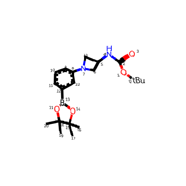 CC(C)(C)OC(=O)NC1CN(c2cccc(B3OC(C)(C)C(C)(C)O3)c2)C1